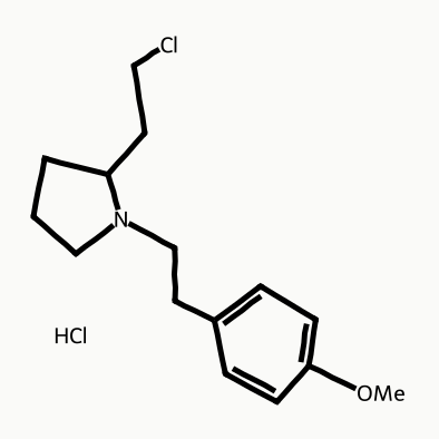 COc1ccc(CCN2CCCC2CCCl)cc1.Cl